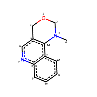 CN1COCc2cnc3ccccc3c21